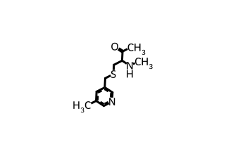 CNC(CSCc1cncc(C)c1)C(C)=O